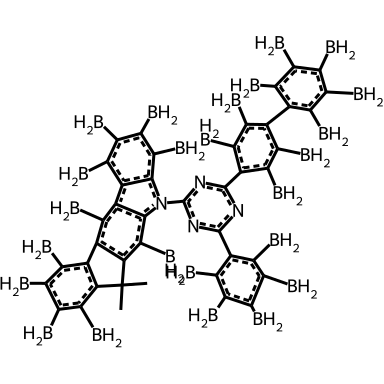 Bc1c(B)c(B)c(-c2nc(-c3c(B)c(B)c(-c4c(B)c(B)c(B)c(B)c4B)c(B)c3B)nc(-n3c4c(B)c(B)c(B)c(B)c4c4c(B)c5c(c(B)c43)C(C)(C)c3c(B)c(B)c(B)c(B)c3-5)n2)c(B)c1B